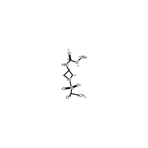 CC(Cl)S(=O)(=O)N1CC(NC(=O)OC(C)(C)C)C1